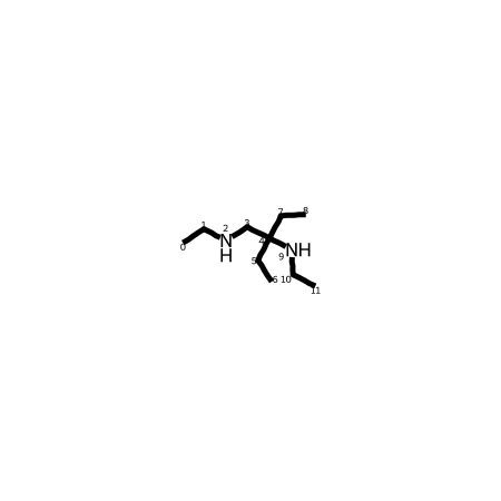 CCNCC(CC)(CC)NCC